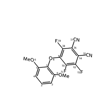 COc1cccc(OC)c1Oc1c(F)c(F)c(C#N)c(C#N)c1F